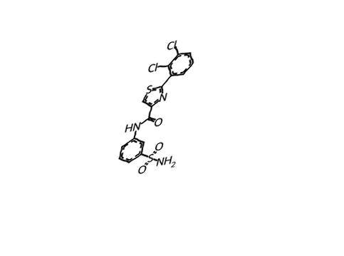 NS(=O)(=O)c1cccc(NC(=O)c2csc(-c3cccc(Cl)c3Cl)n2)c1